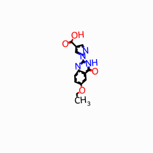 CCOc1ccc2nc(-n3cc(C(=O)O)cn3)[nH]c(=O)c2c1